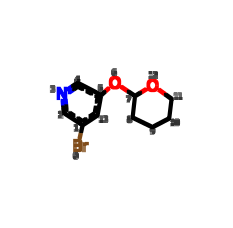 Brc1cncc(OC2CCCCO2)c1